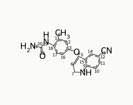 Cc1cc(OC2=CCNc3ccc(C#N)cc32)ccc1NC(N)=O